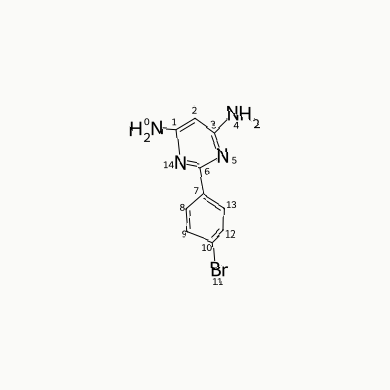 Nc1cc(N)nc(-c2ccc(Br)cc2)n1